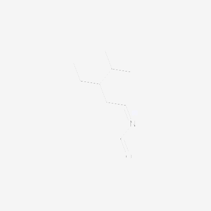 CCC(C/C=N\C=O)C(C)C